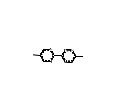 Cc1cnc(-c2ccc(C)nn2)nc1